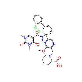 COc1nc(C2(NC(=O)c3cn(C)c(=O)n(C)c3=O)C=CC=C(c3ccccc3Cl)C2Cl)cnc1CN1CCCC[C@H]1C(=O)O